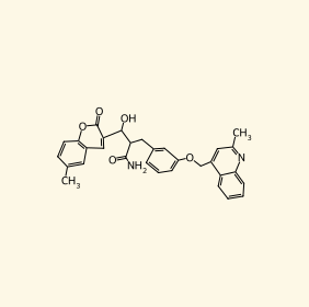 Cc1ccc2oc(=O)c(C(O)C(Cc3cccc(OCc4cc(C)nc5ccccc45)c3)C(N)=O)cc2c1